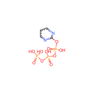 O=P(O)(O)OP(=O)(O)OP(=O)(O)Oc1ncccn1